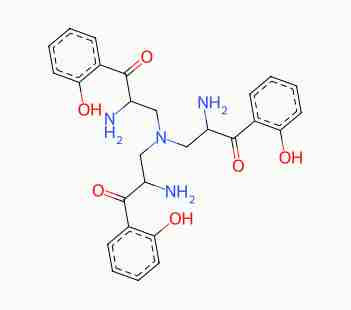 NC(CN(CC(N)C(=O)c1ccccc1O)CC(N)C(=O)c1ccccc1O)C(=O)c1ccccc1O